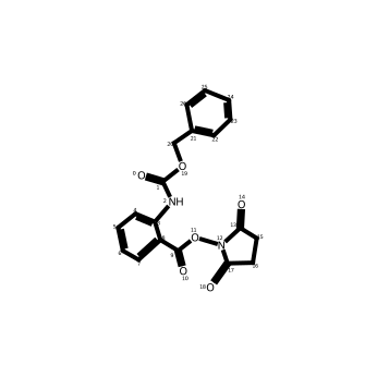 O=C(Nc1ccccc1C(=O)ON1C(=O)CCC1=O)OCc1ccccc1